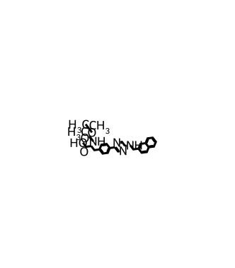 CC(C)(C)OC(=O)NC(Cc1ccc(-c2cnc(NCc3ccc4ccccc4c3)cn2)cc1)C(=O)O